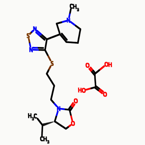 CC(C)[C@H]1COC(=O)N1CCCSc1nsnc1C1=CCCN(C)C1.O=C(O)C(=O)O